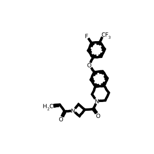 C=CC(=O)N1CC(C(=O)N2CCc3ccc(Oc4ccc(C(F)(F)F)c(F)c4)cc3C2)C1